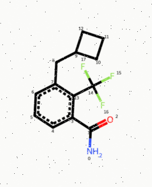 NC(=O)c1cccc([CH]C2CCC2)c1C(F)(F)F